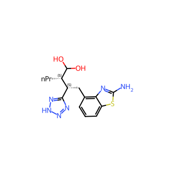 CCC[C@H](C(O)O)[C@H](Cc1cccc2sc(N)nc12)c1nn[nH]n1